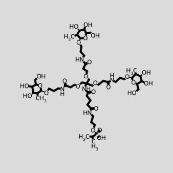 CC1[C@H](OCCCNC(=O)CCOCC(COCCC(=O)NCCCO[C@@H]2OC(CO)C(O)[C@H](O)C2C)(COCCC(=O)NCCCO[C@@H]2OC(CO)C(O)[C@H](O)C2C)NC(=O)CCCC(=O)NCCCOP(=O)(O)C(C)C)OC(CO)C(O)[C@@H]1O